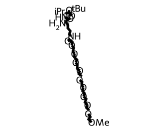 COCCOCCOCCOCCOCCOCCOCCOCCOCCOCC(=O)NCCCC[C@H](N)C(=O)N[C@H](C(=O)OC(C)(C)C)C(C)C